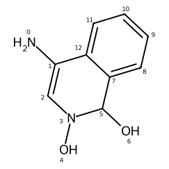 NC1=CN(O)C(O)c2ccccc21